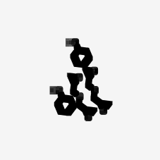 C(OCC1CO1)C1CO1.C(OCC1CO1)C1CO1.Oc1ccccc1.Oc1ccccc1